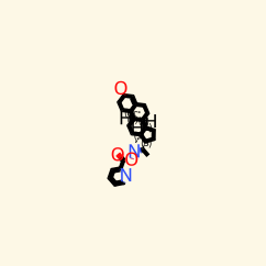 CC(=NOC(=O)c1ccccn1)[C@H]1CC[C@H]2[C@@H]3CCC4=CC(=O)CC[C@]4(C)[C@H]3CC[C@]12C